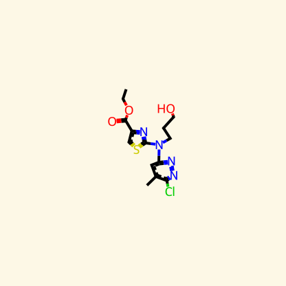 CCOC(=O)c1csc(N(CCCO)c2cc(C)c(Cl)nn2)n1